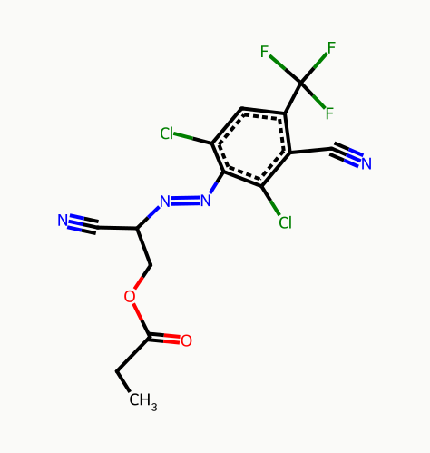 CCC(=O)OCC(C#N)N=Nc1c(Cl)cc(C(F)(F)F)c(C#N)c1Cl